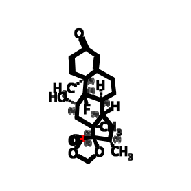 C[C@H]1C[C@H]2[C@@H]3CCC4=CC(=O)C=C[C@]4(C)[C@@]3(F)[C@@H](O)C[C@]2(C)[C@]12OCOC21COCO1